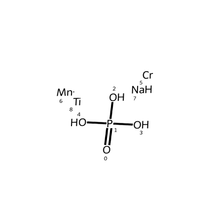 O=P(O)(O)O.[Cr].[Mn].[NaH].[Ti]